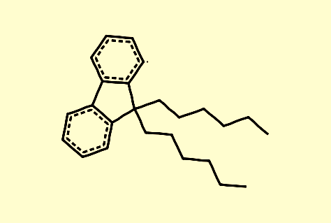 CCCCCCC1(CCCCCC)c2[c]cccc2-c2ccccc21